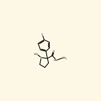 NNC(=O)C1(c2ccc(F)cc2)CCCN1O